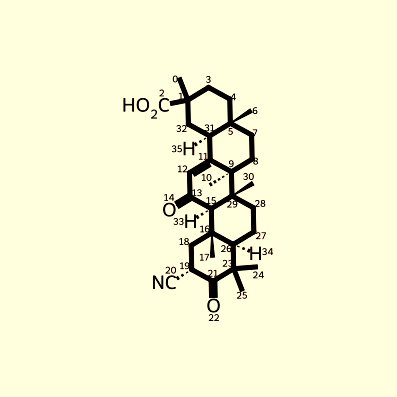 CC1(C(=O)O)CC[C@]2(C)CC[C@]3(C)C(=CC(=O)[C@@H]4[C@@]5(C)C[C@@H](C#N)C(=O)C(C)(C)[C@@H]5CC[C@]43C)[C@H]2C1